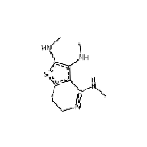 CNC1=NCCc2sc(NC)c(NC)c21